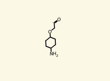 NC1CCC(OC[C]=O)CC1